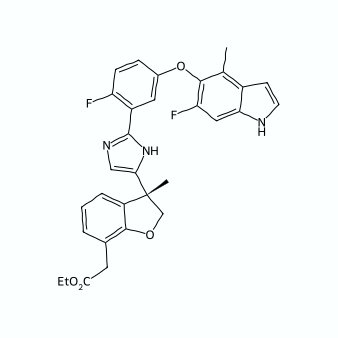 CCOC(=O)Cc1cccc2c1OC[C@@]2(C)c1cnc(-c2cc(Oc3c(F)cc4[nH]ccc4c3C)ccc2F)[nH]1